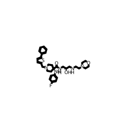 O=C(NC[C@@H](O)CNCCN1CCOCC1)C1(Nc2ccc(F)cc2)CCN(Cc2ccc(-c3ccccc3)s2)CC1